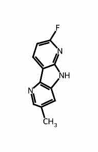 Cc1cnc2c(c1)[nH]c1nc(F)ccc12